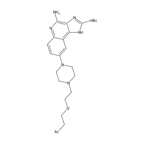 CCCCc1nc2c(N)nc3ccc(N4CCN(CCOCCC(C)=O)CC4)cc3c2[nH]1